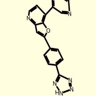 c1cncc(-c2ccnc3cc(-c4ccc(-c5nn[nH]n5)cc4)oc23)c1